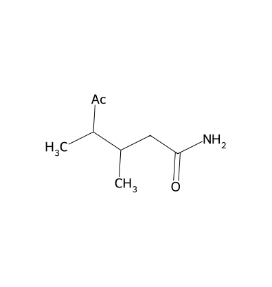 CC(=O)C(C)C(C)CC(N)=O